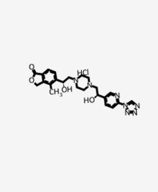 Cc1c([C@@H](O)CN2CCN(C[C@H](O)c3ccc(-n4cnnn4)nc3)CC2)ccc2c1COC2=O.Cl